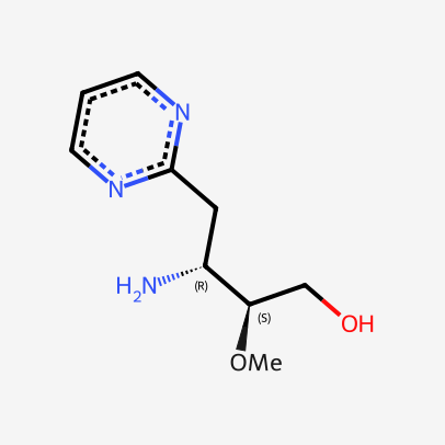 CO[C@H](CO)[C@H](N)Cc1ncccn1